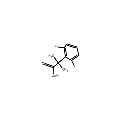 COC(=O)C(C)(C)c1c(F)cccc1F